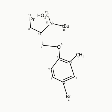 Cc1cc(Br)ccc1OC[C@H](CC(C)C)N(C(=O)O)C(C)(C)C